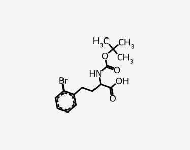 CC(C)(C)OC(=O)NC(CCc1ccccc1Br)C(=O)O